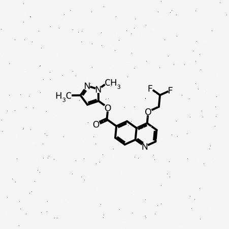 Cc1cc(OC(=O)c2ccc3nccc(OCC(F)F)c3c2)n(C)n1